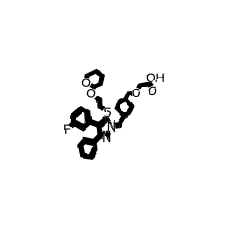 O=C(O)COCC1CCC(Cn2nc(-c3ccccc3)c(-c3cccc(F)c3)c2SCCOC2CCCCO2)CC1